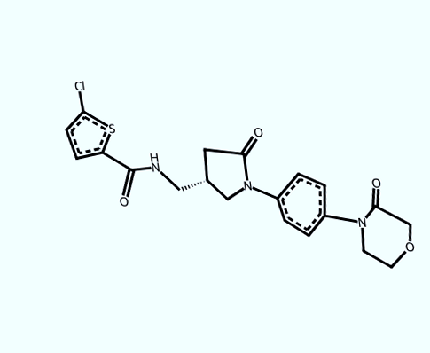 O=C(NC[C@@H]1CC(=O)N(c2ccc(N3CCOCC3=O)cc2)C1)c1ccc(Cl)s1